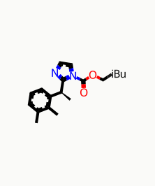 CCC(C)COC(=O)n1ccnc1[C@@H](C)c1cccc(C)c1C